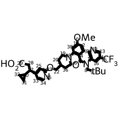 COc1ccc(C(=O)N(CC(C)(C)C)c2cncc(C(F)(F)F)c2)c(N2CCC(COc3cc(C(CC(=O)O)C4CC4)ccn3)CC2)c1